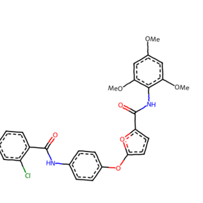 COc1cc(OC)c(NC(=O)c2ccc(Oc3ccc(NC(=O)c4ccccc4Cl)cc3)o2)c(OC)c1